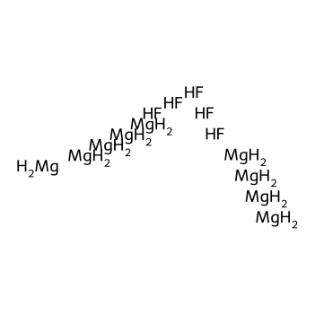 F.F.F.F.F.[MgH2].[MgH2].[MgH2].[MgH2].[MgH2].[MgH2].[MgH2].[MgH2].[MgH2]